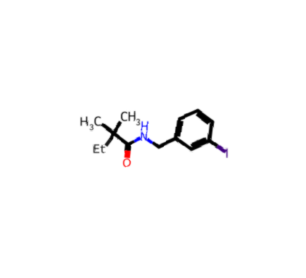 CCC(C)(C)C(=O)NCc1cccc(I)c1